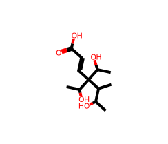 CC(O)C(C)C(C=CC(=O)O)(C(C)O)C(C)O